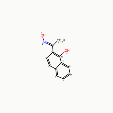 O=C(O)C(=NO)c1ccc2ccccc2c1O